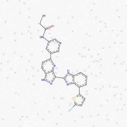 CC(C)CC(=O)Nc1cncc(-c2ccc3[nH]nc(-c4nc5c(-c6ccc(F)s6)cccc5[nH]4)c3n2)c1